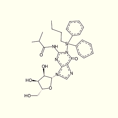 CCCC[Si](c1ccccc1)(c1ccccc1)n1c(NC(=O)C(C)C)nc2c(ncn2[C@@H]2O[C@H](CO)[C@@H](O)[C@H]2O)c1=O